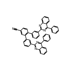 N#Cc1ccc(-c2cccc(-c3nc(-c4ccccc4)c4ccccc4n3)c2)c(-c2cccc(-c3nc(-c4ccccc4)c4ccccc4n3)c2)c1